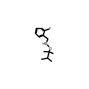 CC(C)C(C)(C)OBCc1ccccc1F